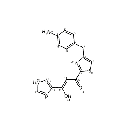 Nc1ccc(Cc2csc(C(=O)C=C(O)c3nc[nH]n3)n2)cc1